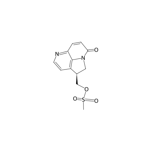 CS(=O)(=O)OC[C@@H]1Cn2c(=O)ccc3nccc1c32